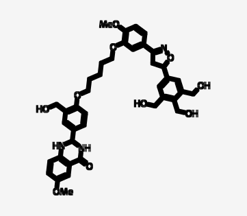 COc1ccc2c(c1)C(=O)NC(c1ccc(OCCCCCOc3cc(C4=NOC(c5cc(CO)c(CO)c(CO)c5)C4)ccc3OC)c(CO)c1)N2